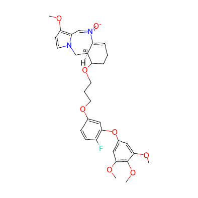 COc1cc(Oc2cc(OCCCOC3CCC=C4[C@@H]3Cn3ccc(OC)c3C=[N+]4[O-])ccc2F)cc(OC)c1OC